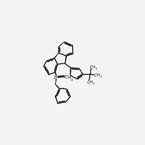 [CH2]=[Zr]([CH2]c1ccccc1)[c]1cccc2c1C(C1=CC(C(C)(C)C)=CC1)c1ccccc1-2